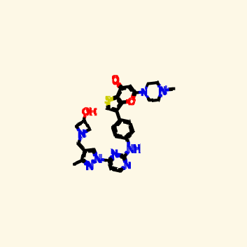 Cc1nn(-c2ccnc(Nc3ccc(-c4csc5c(=O)cc(N6CCN(C)CC6)oc45)cc3)n2)cc1CN1CC(O)C1